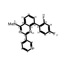 CNc1nc(-c2cccnc2)nc2c(-c3ccc(F)cc3F)cccc12